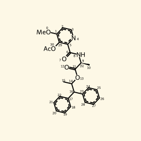 COc1ccnc(C(=O)N[C@@H](C)C(=O)OC(C)C(c2ccccc2)c2ccccc2)c1OC(C)=O